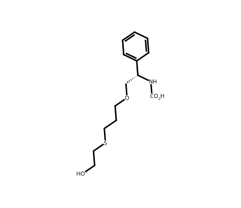 O=C(O)N[C@H](COCCCSCCO)c1ccccc1